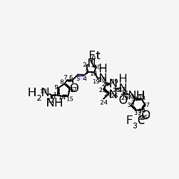 CCN1CC(/C=C/c2cc3cc(C(=N)N)ccc3o2)C(CNc2cc(C)nc(NC(=O)Nc3ccc(OC(F)(F)F)cc3)n2)C1